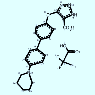 O=C(O)C(F)(F)F.O=C(O)c1[nH]nnc1Oc1ccc(-c2ccc(N3CCCCC3)cc2)cc1